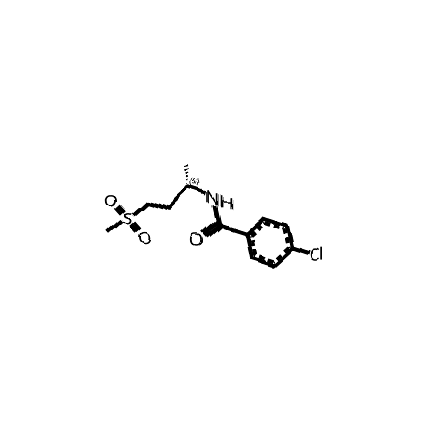 C[C@@H](CCS(C)(=O)=O)NC(=O)c1ccc(Cl)cc1